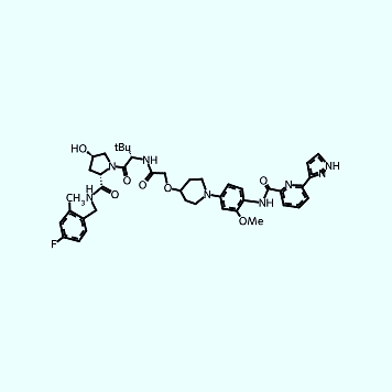 COc1cc(N2CCC(OCC(=O)N[C@H](C(=O)N3C[C@H](O)C[C@H]3C(=O)NCc3ccc(F)cc3C)C(C)(C)C)CC2)ccc1NC(=O)c1cccc(-c2cc[nH]n2)n1